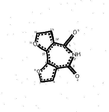 O=c1[nH]c(=O)c2ccoc2c2occc12